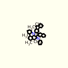 CC1C=CC2(C)C3=C1C(C)c1c(c4ccc5ccccc5c4n1-c1ccccc1)C3(C)N(c1ccc3c(c1)C(C)(C)c1ccccc1-3)c1ccccc12